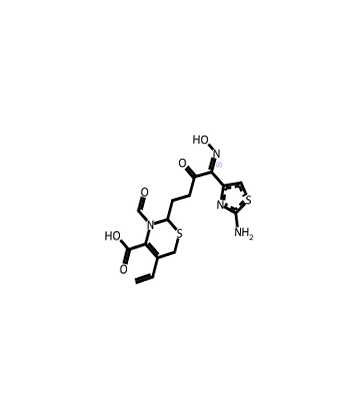 C=CC1=C(C(=O)O)N(C=O)C(CCC(=O)/C(=N\O)c2csc(N)n2)SC1